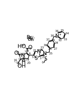 CSc1c2sc(C3=C(C(=O)O)N4C(=O)[C@H]([C@@H](C)O)[C@H]4[C@H]3C)c[n+]2cn1Cc1ccc(C[n+]2ccccc2)cc1.[Br-].[Br-]